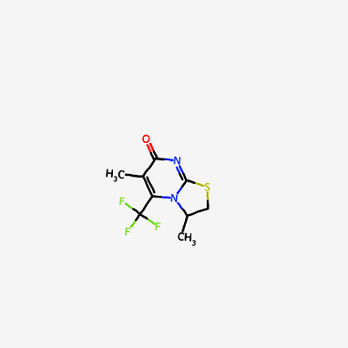 Cc1c(C(F)(F)F)n2c(nc1=O)SCC2C